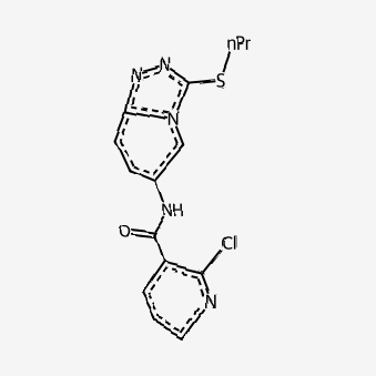 CCCSc1nnc2ccc(NC(=O)c3cccnc3Cl)cn12